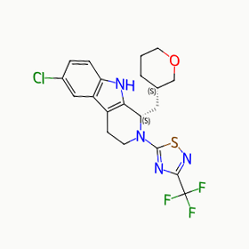 FC(F)(F)c1nsc(N2CCc3c([nH]c4ccc(Cl)cc34)[C@@H]2C[C@@H]2CCCOC2)n1